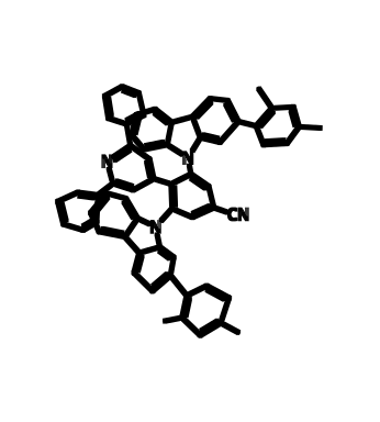 Cc1ccc(-c2ccc3c4ccccc4n(-c4cc(C#N)cc(-n5c6ccccc6c6ccc(-c7ccc(C)cc7C)cc65)c4-c4cc(-c5ccccc5)nc(-c5ccccc5)c4)c3c2)c(C)c1